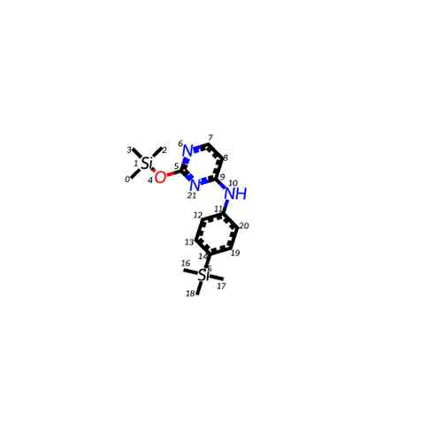 C[Si](C)(C)Oc1nccc(Nc2ccc([Si](C)(C)C)cc2)n1